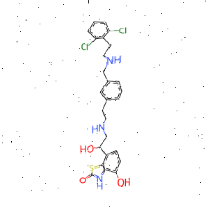 O=c1[nH]c2c(O)ccc(C(O)CNCCc3cccc(CNCCc4c(Cl)cccc4Cl)c3)c2s1